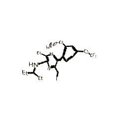 CCc1nc(-c2ccc(OC(F)(F)F)cc2OC)c(CI)nc1NC(CC)CC